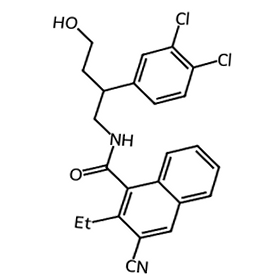 CCc1c(C#N)cc2ccccc2c1C(=O)NCC(CCO)c1ccc(Cl)c(Cl)c1